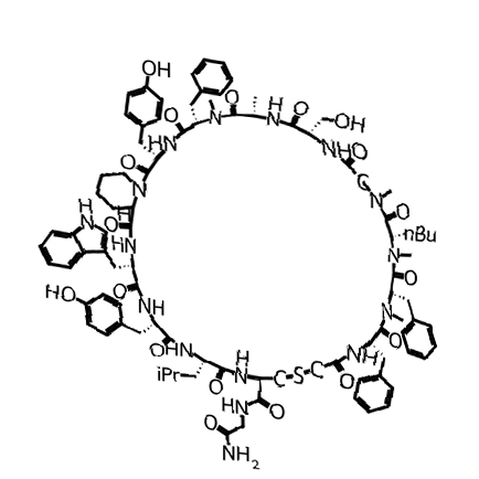 CCCC[C@H]1C(=O)N(C)CC(=O)N[C@@H](CO)C(=O)N[C@@H](C)C(=O)N(C)[C@@H](Cc2ccccc2)C(=O)N[C@@H](Cc2ccc(O)cc2)C(=O)N2CCCC[C@@H]2C(=O)N[C@@H](Cc2c[nH]c3ccccc23)C(=O)N[C@@H](Cc2ccc(O)cc2)C(=O)N[C@@H](CC(C)C)C(=O)N[C@H](C(=O)NCC(N)=O)CSCC(=O)N[C@@H](Cc2ccccc2)C(=O)N(C)[C@@H](Cc2ccccc2)C(=O)N1C